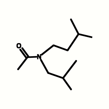 CC(=O)N(CCC(C)C)CC(C)C